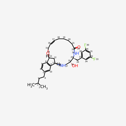 CC(C)CCc1ccc2c(c1)[C@@H]1C[C@H]2OC/C=C\CCCCC(=O)N[C@@H](Cc2cc(F)cc(F)c2)[C@H](O)CN1